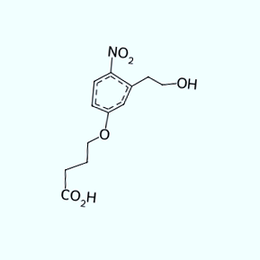 O=C(O)CCCOc1ccc([N+](=O)[O-])c(CCO)c1